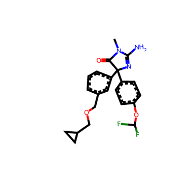 CN1C(=O)C(c2ccc(OC(F)F)cc2)(c2cccc(COCC3CC3)c2)N=C1N